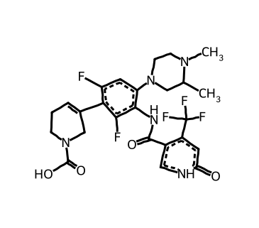 CC1CN(c2cc(F)c(C3=CCCN(C(=O)O)C3)c(F)c2NC(=O)c2c[nH]c(=O)cc2C(F)(F)F)CCN1C